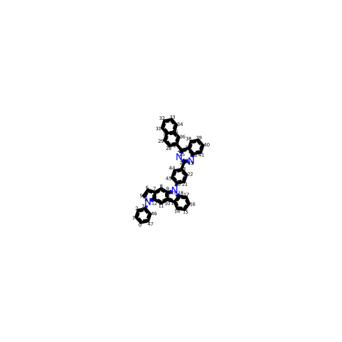 c1ccc(-n2ccc3cc4c(cc32)c2ccccc2n4-c2ccc(-c3nc(-c4ccc5ccccc5c4)c4ccccc4n3)cc2)cc1